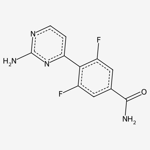 NC(=O)c1cc(F)c(-c2ccnc(N)n2)c(F)c1